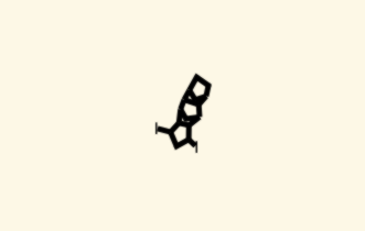 IC1CC(I)C2C3CC(C12)C1C2CCC(C2)C31